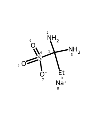 CCC(N)(N)S(=O)(=O)[O-].[Na+]